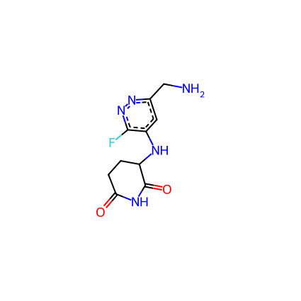 NCc1cc(NC2CCC(=O)NC2=O)c(F)nn1